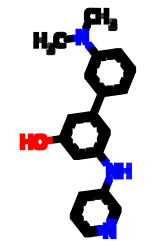 CN(C)c1cccc(-c2cc(O)cc(Nc3cccnc3)c2)c1